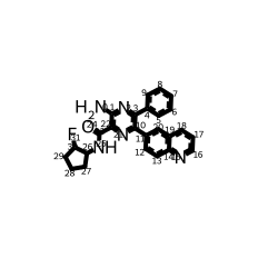 Nc1nc(-c2ccccc2)c(-c2ccc3ncccc3c2)nc1C(=O)NC1CCCC1F